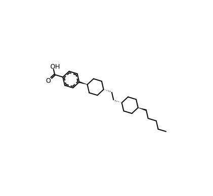 CCCCC[C@H]1CC[C@H](CC[C@H]2CC[C@H](c3ccc(C(=O)O)cc3)CC2)CC1